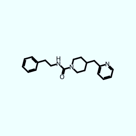 O=C(NCCc1ccccc1)N1CCC(Cc2ccccn2)CC1